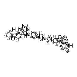 Nc1ncnc2c1c(-c1ccc(Oc3ccccc3)cc1)nn2C1CCC(N2CCN(C3CN(c4ccc5c(c4)oc(=O)n5C4CCC(=O)NC4=O)C3)CC2)CC1